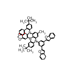 Cc1cc2c3c(c1)N(c1ccc(C(C)(C)C)cc1-c1ccccc1)c1cc4c(cc1B3c1cc(C(C)(C)C)ccc1N2c1cc(-c2cc3c(o2)C=CCC3)cc(-c2cc3ccccc3o2)c1)OCO4